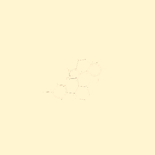 O=C(O)N1CCOC(c2ccc(Cl)cc2)C1c1[nH]nc2c1-c1ccccc1CC2